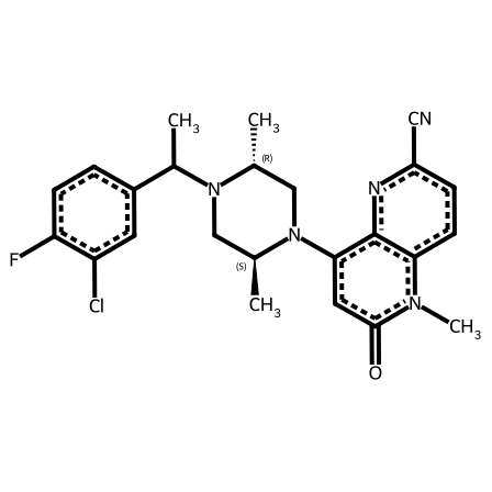 CC(c1ccc(F)c(Cl)c1)N1C[C@H](C)N(c2cc(=O)n(C)c3ccc(C#N)nc23)C[C@H]1C